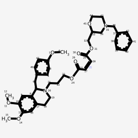 COc1ccc(CC2c3cc(OC)c(OC)cc3CCN2CCCOC(=O)/C=C\C(=O)OCC2CN(Cc3ccccc3)CCO2)cc1